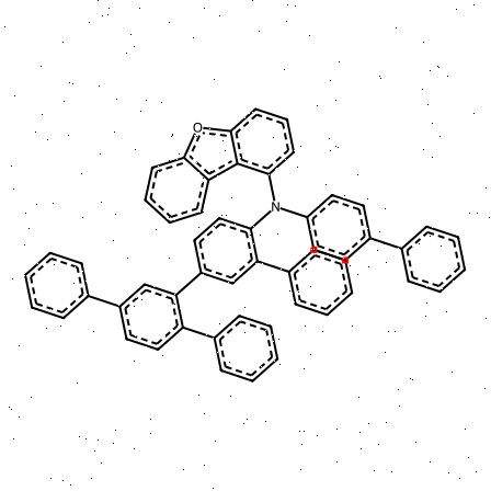 c1ccc(-c2ccc(N(c3ccc(-c4cc(-c5ccccc5)ccc4-c4ccccc4)cc3-c3ccccc3)c3cccc4oc5ccccc5c34)cc2)cc1